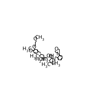 COCCCOc1cc(C[C@@H](C[C@H](N)[C@@H](O)C[C@H](C(=O)NCc2ccccc2N2CCOCC2)C(C)C)C(C)C)ccc1OC